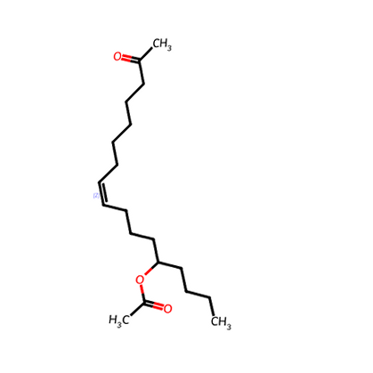 CCCCC(CCC/C=C\CCCCCC(C)=O)OC(C)=O